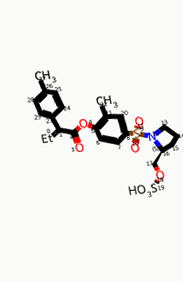 CCC(C(=O)Oc1ccc(S(=O)(=O)N2CCC[C@H]2COS(=O)(=O)O)cc1C)c1ccc(C)cc1